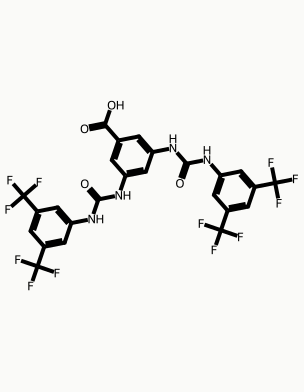 O=C(Nc1cc(NC(=O)Nc2cc(C(F)(F)F)cc(C(F)(F)F)c2)cc(C(=O)O)c1)Nc1cc(C(F)(F)F)cc(C(F)(F)F)c1